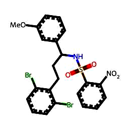 COc1cccc(C(CCc2c(Br)cccc2Br)NS(=O)(=O)c2ccccc2[N+](=O)[O-])c1